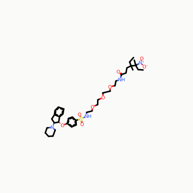 CCC(C)(CCC(=O)NCCOCCOCCOCCNS(=O)(=O)c1ccc(O[C@H]2c3ccccc3C[C@@H]2N2CCCCC2)cc1)C(C)(CC)[N+](=O)[O-]